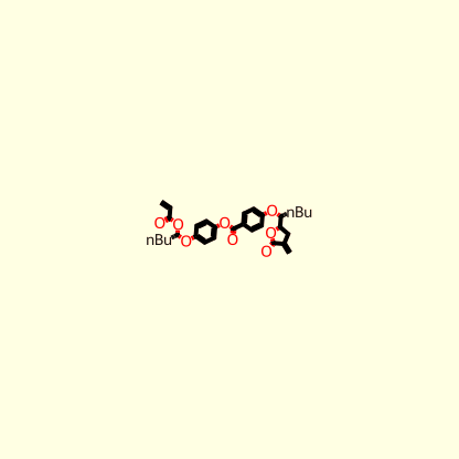 C=CC(=O)OC(CCCC)Oc1ccc(OC(=O)c2ccc(OC(CCCC)C3CC(=C)C(=O)O3)cc2)cc1